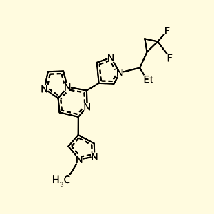 CCC(C1CC1(F)F)n1cc(-c2nc(-c3cnn(C)c3)cc3nccn23)cn1